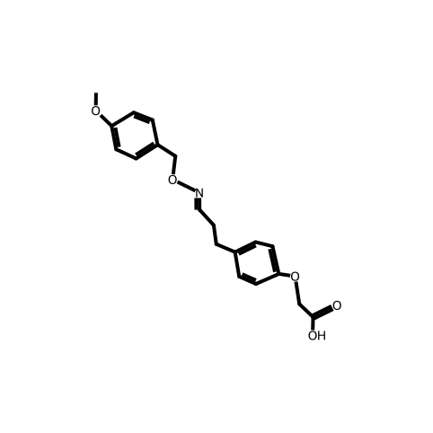 COc1ccc(CON=CCCc2ccc(OCC(=O)O)cc2)cc1